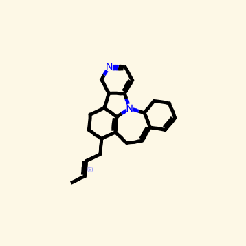 C/C=C/CC1CCC2C3=C1CC=C1C=CCCC1N3C1=CC=NCC12